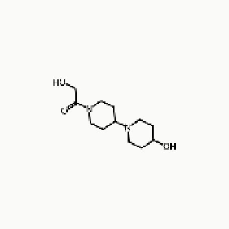 O=C(CO)N1CCC(N2CCC(O)CC2)CC1